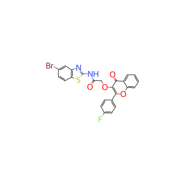 O=C(COc1c(-c2ccc(F)cc2)oc2ccccc2c1=O)Nc1nc2cc(Br)ccc2s1